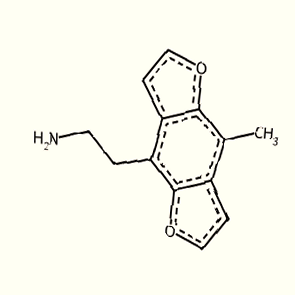 Cc1c2ccoc2c(CCN)c2ccoc12